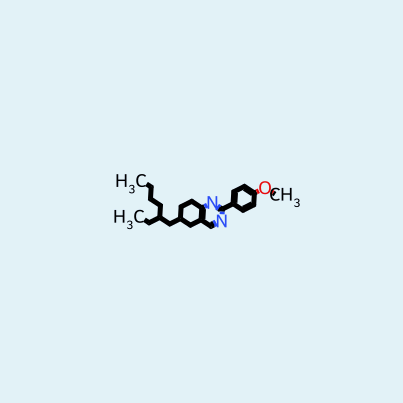 CCCCC(CC)CC1CCc2nc(-c3ccc(OC)cc3)ncc2C1